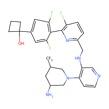 NC1CC(C(F)(F)F)CN(c2ccncc2NCc2ccc(F)c(-c3c(F)cc(C4(O)CCC4)cc3F)n2)C1